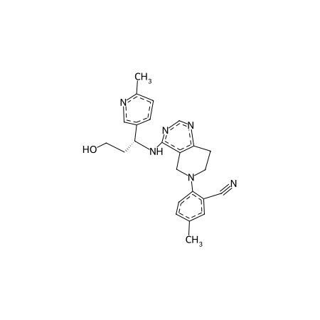 Cc1ccc(N2CCc3ncnc(N[C@H](CCO)c4ccc(C)nc4)c3C2)c(C#N)c1